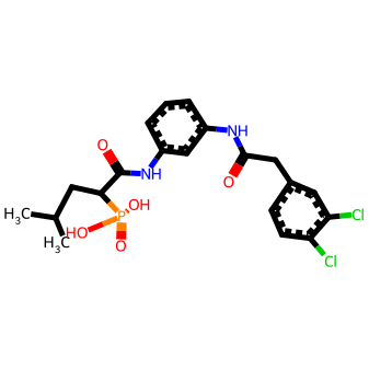 CC(C)CC(C(=O)Nc1cccc(NC(=O)Cc2ccc(Cl)c(Cl)c2)c1)P(=O)(O)O